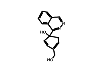 OCC1=CCC(O)(c2nncc3ccccc23)C=C1